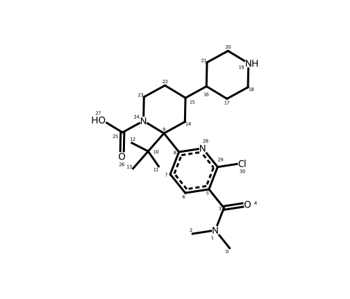 CN(C)C(=O)c1ccc(C2(C(C)(C)C)CC(C3CCNCC3)CCN2C(=O)O)nc1Cl